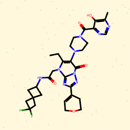 CCc1c(N2CCN(C(=O)c3ncnc(C)c3O)CC2)c(=O)n2nc(C3=CCOCC3)nc2n1CC(=O)NC1CC2(C1)CC(F)(F)C2